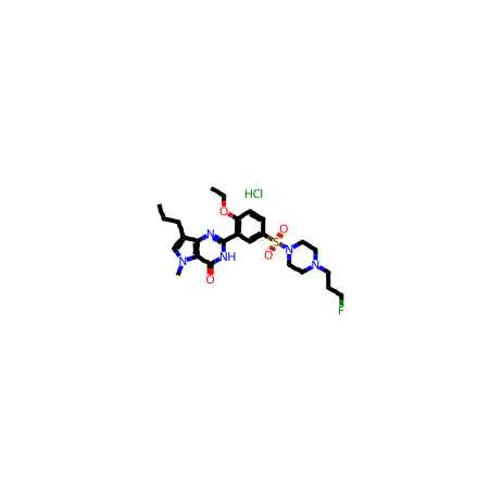 CCCc1cn(C)c2c(=O)[nH]c(-c3cc(S(=O)(=O)N4CCN(CCCF)CC4)ccc3OCC)nc12.Cl